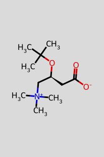 CC(C)(C)O[C@@H](CC(=O)[O-])C[N+](C)(C)C